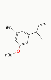 C=C[C](C)c1cc(OCCCC)cc(C(C)C)c1